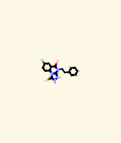 O=c1c2cc(F)ccc2n2c(=S)[nH]nc2n1CCc1ccccc1